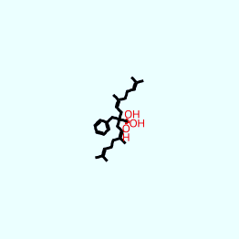 CC(C)=CCCC(C)=CCC(CC=C(C)CCC=C(C)C)(Cc1ccccc1)C(O)(O)O